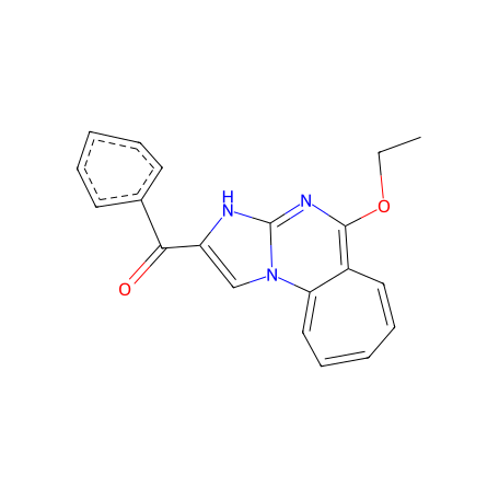 CCOC1=C2C=CC=CC=C2N2C=C(C(=O)c3ccccc3)NC2=N1